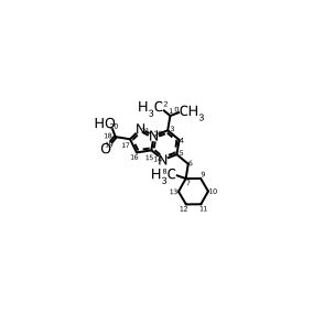 CC(C)c1cc(CC2(C)CCCCC2)nc2cc(C(=O)O)nn12